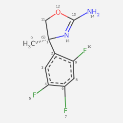 C[C@]1(c2cc(F)c(F)cc2F)COC(N)=N1